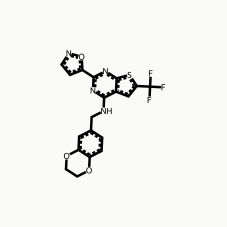 FC(F)(F)c1cc2c(NCc3ccc4c(c3)OCCO4)nc(-c3ccno3)nc2s1